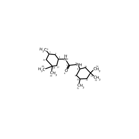 CC1CC(NC(=O)NC2CC(C)CC(C)(C)C2)CC(C)(C)C1